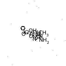 Cc1nc(N)c2cnn([C@@H]3O[C@H](COC(=O)c4ccccc4)[C@@H](O)[C@H]3O)c2n1